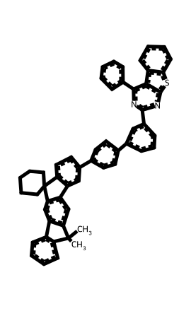 CC1(C)c2ccccc2-c2cc3c(cc21)-c1cc(-c2ccc(-c4cccc(-c5nc(-c6ccccc6)c6c(n5)sc5ccccc56)c4)cc2)ccc1C31CCCCC1